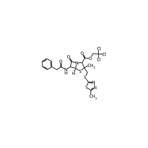 Cc1nnc(SCC2(C)S[C@@H]3C(NC(=O)Cc4ccccc4)C(=O)N3C2C(=O)OCC(Cl)(Cl)Cl)s1